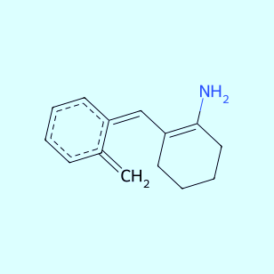 C=c1cccc/c1=C/C1=C(N)CCCC1